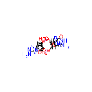 CO[C@H]1[C@H]2OP(=O)(O)OC[C@@H]3[C@@H](O[PH](=O)OC[C@H]1O[C@H]2n1cnc2c(=O)[nH]c(N)nc21)[C@@H](O)[C@@]1(n2cnc4c(N)ncnc42)C[C@@H]31